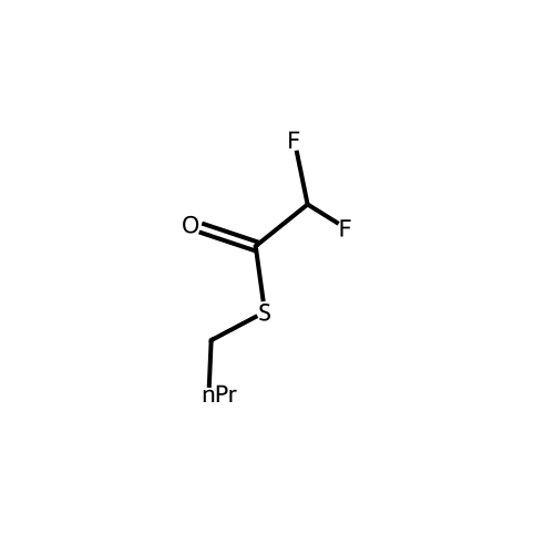 CCCCSC(=O)C(F)F